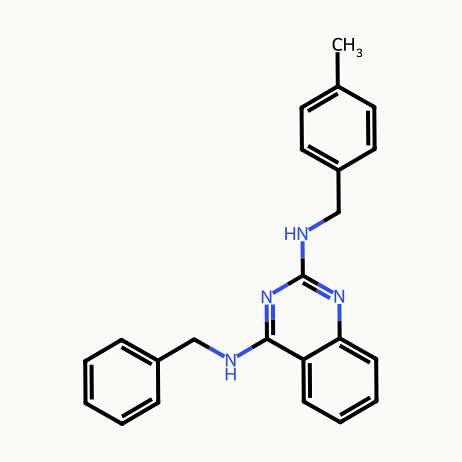 Cc1ccc(CNc2nc(NCc3ccccc3)c3ccccc3n2)cc1